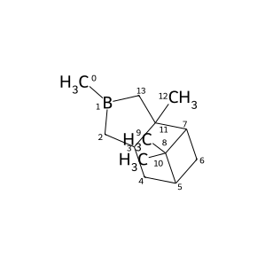 CB1CC2CC3CC(C3(C)C)C2(C)C1